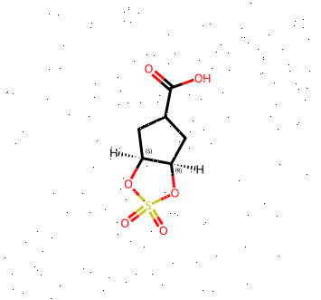 O=C(O)C1C[C@@H]2OS(=O)(=O)O[C@@H]2C1